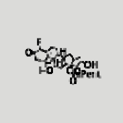 CCCCCC(=O)O[C@]1(C(=O)CO)C(C)C[C@H]2[C@@H]3CCC4=C(F)C(=O)C=C[C@]4(C)[C@H]3C(O)C[C@@]21C